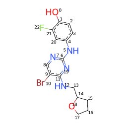 Oc1ccc(Nc2ncc(Br)c(NCC3CCCO3)n2)cc1F